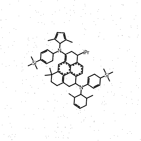 CC1=CC=C(C)C1N(C1=c2cc3c4c5c(ccc(c25)C(C(C)C)C1)C(N(C1=CCC([Si](C)(C)C)C=C1)C1C(C)C=CCC1C)CC=4CCC3(C)C)C1C=CC([Si](C)(C)C)=CC1